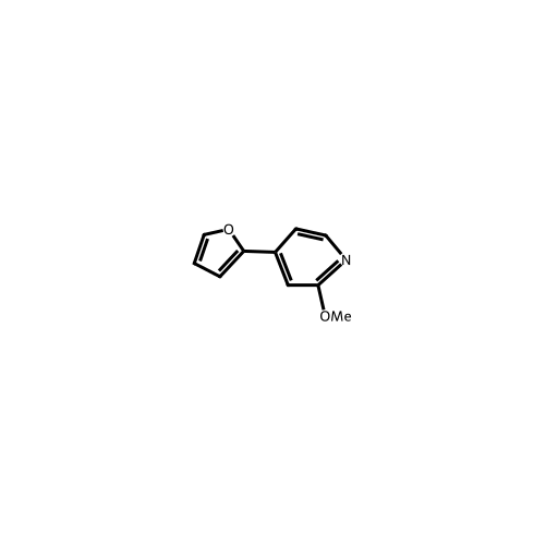 COc1cc(-c2ccco2)ccn1